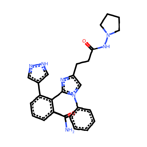 NC(=O)c1cccc(-c2cn[nH]c2)c1-c1nc(CCC(=O)NN2CCCC2)cn1-c1ccccc1